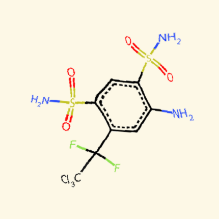 Nc1cc(C(F)(F)C(Cl)(Cl)Cl)c(S(N)(=O)=O)cc1S(N)(=O)=O